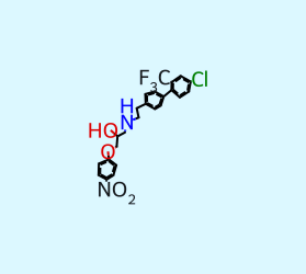 O=[N+]([O-])c1ccc(OCC(O)CNCCc2ccc(-c3ccc(Cl)cc3C(F)(F)F)cc2)cc1